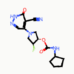 N#Cc1c(N2C[C@H](OC(=O)NC3CCCC3)[C@@H](F)C2)cn[nH]c1=O